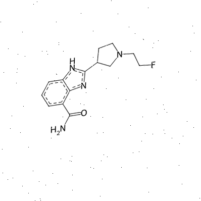 NC(=O)c1cccc2[nH]c(C3CCN(CCF)C3)nc12